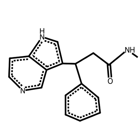 CNC(=O)CC(c1ccccc1)c1c[nH]c2ccncc12